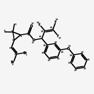 CC1(C)C(C=C(Br)Br)C1C(=O)OC(C(F)=C(F)F)c1cccc(Oc2ccccc2)c1